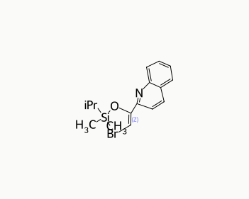 CC(C)[Si](C)(C)O/C(=C\Br)c1ccc2ccccc2n1